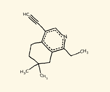 C#Cc1cnc(CC)c2c1CCC(C)(C)C2